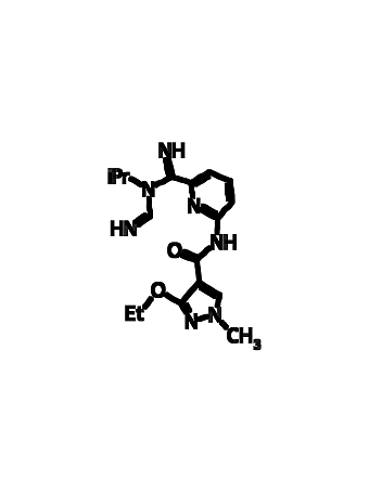 CCOc1nn(C)cc1C(=O)Nc1cccc(C(=N)N(C=N)C(C)C)n1